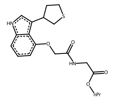 CCCOC(=O)CNC(=O)COc1cccc2[nH]cc(C3CCSC3)c12